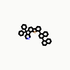 c1ccc(C2(c3ccccc3)c3ccncc3-c3c2ccc2c3sc3c(-c4ccc(-c5cccc6ccccc56)c5ccccc45)cccc32)cc1